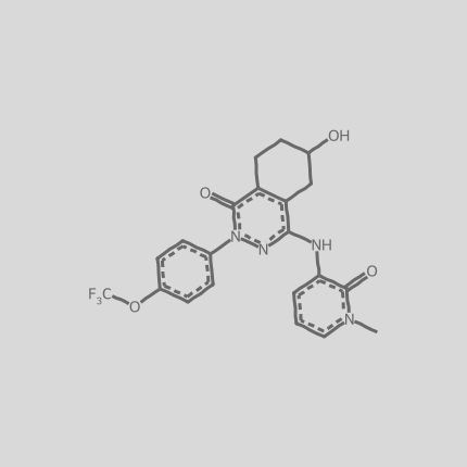 Cn1cccc(Nc2nn(-c3ccc(OC(F)(F)F)cc3)c(=O)c3c2CC(O)CC3)c1=O